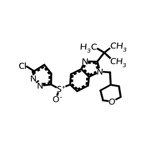 CC(C)(C)c1nc2cc([S+]([O-])c3ccc(Cl)nn3)ccc2n1CC1CCOCC1